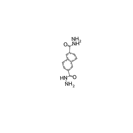 NNC(=O)c1ccc2cc(C(=O)NN)ccc2c1